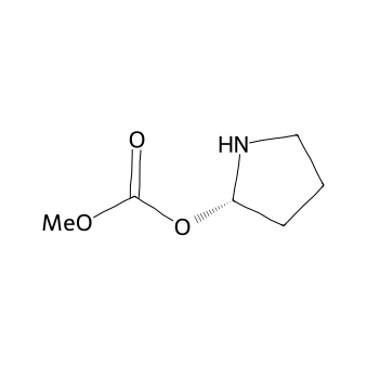 COC(=O)O[C@H]1CCCN1